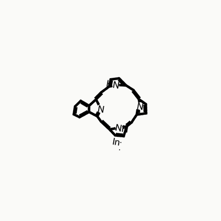 C1=Cc2cc3ccc(cc4nc(cc5ccc(cc1n2)[nH]5)-c1ccccc1-4)[nH]3.[In]